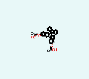 CCC(O)COc1ccc2cc(C3(c4ccc5cc(OCC(O)CC)ccc5c4)c4ccccc4-c4ccccc43)ccc2c1